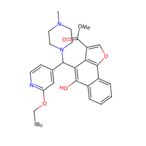 COC(=O)c1coc2c1c(C(c1ccnc(OCC(C)(C)C)c1)N1CCN(C)CC1)c(O)c1ccccc12